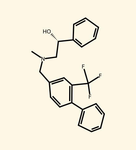 CN(Cc1ccc(-c2ccccc2)c(C(F)(F)F)c1)C[C@H](O)c1ccccc1